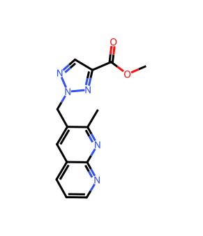 COC(=O)c1cnn(Cc2cc3cccnc3nc2C)n1